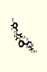 Cc1c(F)ccc(COc2nc(C)n(-c3cccc(-c4nc(C(C)(C)O)ncc4F)c3)c(=O)c2C)c1F